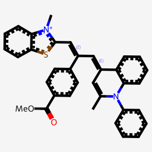 COC(=O)c1ccc(C(=C\c2sc3ccccc3[n+]2C)/C=C2\C=C(C)N(c3ccccc3)c3ccccc32)cc1